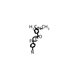 C=CNc1cc(C(=O)N2CCC(F)(c3ccc(C#N)cc3)CC2)ccc1C